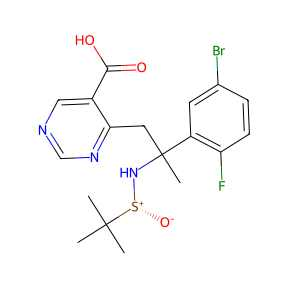 CC(Cc1ncncc1C(=O)O)(N[S@+]([O-])C(C)(C)C)c1cc(Br)ccc1F